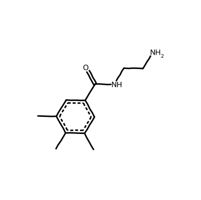 Cc1cc(C(=O)NCCN)cc(C)c1C